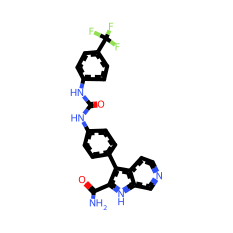 NC(=O)c1[nH]c2cnccc2c1-c1ccc(NC(=O)Nc2ccc(C(F)(F)F)cc2)cc1